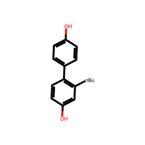 CCCCc1cc(O)ccc1-c1ccc(O)cc1